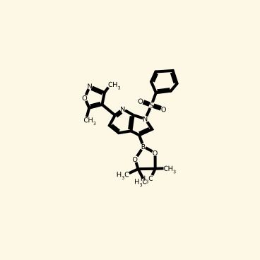 Cc1noc(C)c1-c1ccc2c(B3OC(C)(C)C(C)(C)O3)cn(S(=O)(=O)c3ccccc3)c2n1